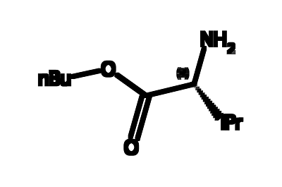 CCCCOC(=O)[C@H](N)C(C)C